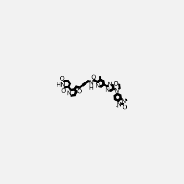 Cc1cc(-c2ncc3c(n2)OCCN3c2ccc3c(c2)n(C)c(=O)n3C)cnc1C(=O)NCC#Cc1cc2c(C3CCC(=O)NC3=O)nccc2o1